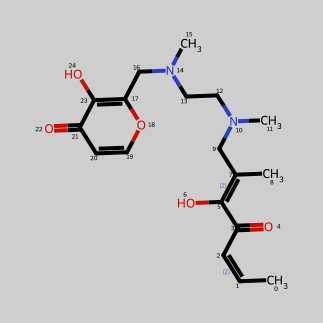 C/C=C\C(=O)/C(O)=C(\C)CN(C)CCN(C)Cc1occc(=O)c1O